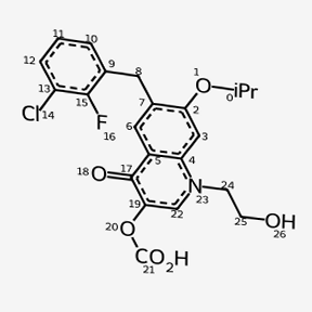 CC(C)Oc1cc2c(cc1Cc1cccc(Cl)c1F)c(=O)c(OC(=O)O)cn2CCO